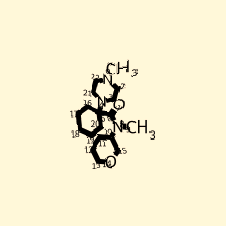 CN1CCN(C2(C(=O)N(C)C3CCCOC3)CCCCC2)CC1